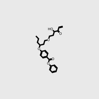 C=CC(=O)C(O)CCOCCC(CCC)Oc1ccc(C(=O)Oc2ccccc2)cc1